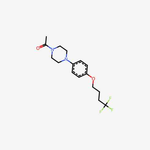 CC(=O)N1CCN(c2ccc(OCCCC(F)(F)F)cc2)CC1